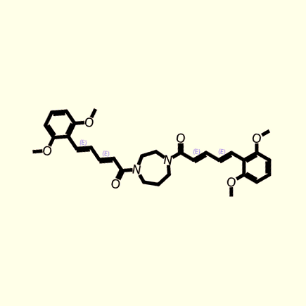 COc1cccc(OC)c1/C=C/C=C/C(=O)N1CCCN(C(=O)/C=C/C=C/c2c(OC)cccc2OC)CC1